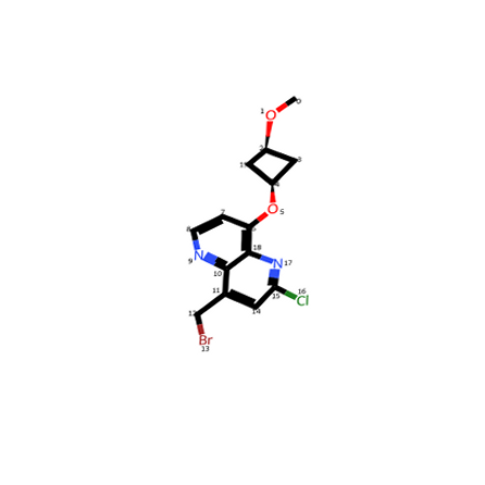 CO[C@H]1C[C@@H](Oc2ccnc3c(CBr)cc(Cl)nc23)C1